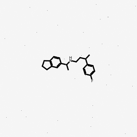 CC(CCNC(C)c1ccc2c(c1)CCC2)c1ccc(F)cc1